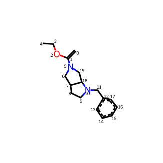 C=C(OCC)N1CC2CCN(Cc3ccccc3)C2C1